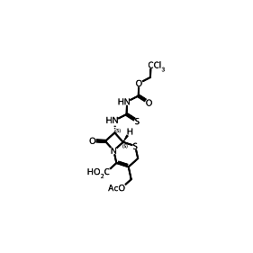 CC(=O)OCC1=C(C(=O)O)N2C(=O)[C@H](NC(=S)NC(=O)OCC(Cl)(Cl)Cl)[C@@H]2SC1